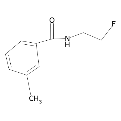 Cc1cccc(C(=O)NCCF)c1